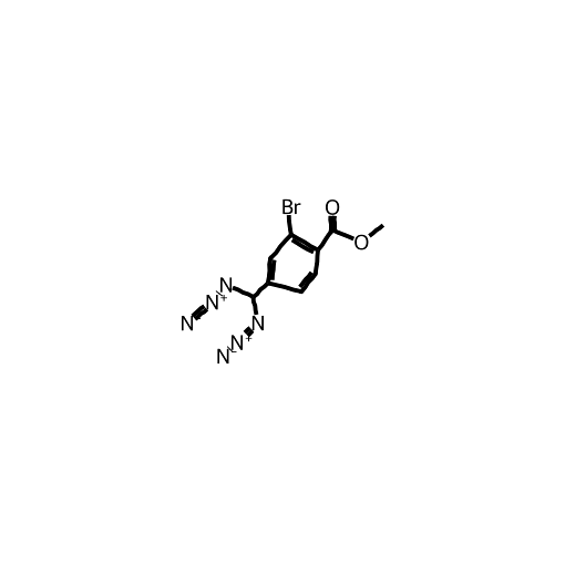 COC(=O)c1ccc(C(N=[N+]=[N-])N=[N+]=[N-])cc1Br